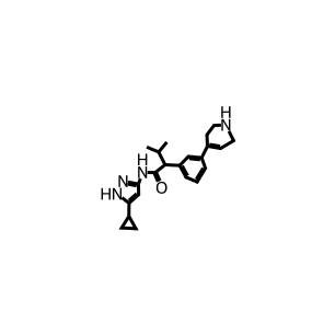 CC(C)C(C(=O)Nc1cc(C2CC2)[nH]n1)c1cccc(C2=CCNCC2)c1